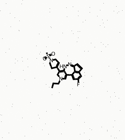 CCCN1C=C2C(=C(C3=CCN(S(C)(=O)=O)CC3)C1)NN=C1C=Cc3cc(F)cc2c31